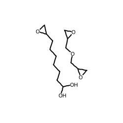 C(OCC1CO1)C1CO1.OC(O)CCCCCCC1CO1